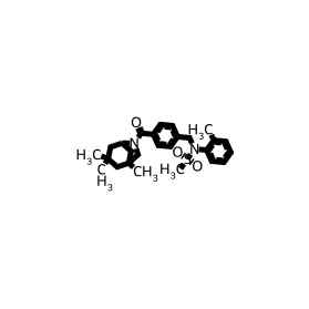 Cc1ccccc1N(Cc1ccc(C(=O)N2CC3(C)CC2CC(C)(C)C3)cc1)S(C)(=O)=O